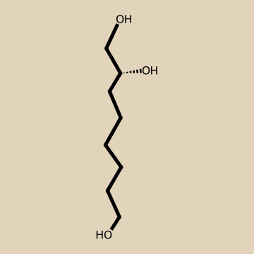 OCCCCCC[C@@H](O)CO